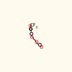 FC(F)(F)Oc1ccc(C2CCC(OCCCCOCC3CCC4OC4C3)CC2)cc1